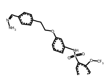 N/N=C\c1ccc(CCOc2cccc(NS(=O)(=O)c3ccccc3OC(F)(F)F)c2)cc1